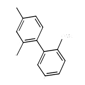 COc1ccccc1-c1ccc(C)[c]c1C